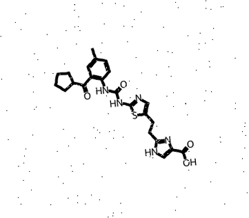 Cc1ccc(NC(=O)Nc2ncc(CCc3nc(C(=O)O)c[nH]3)s2)c(C(=O)C2CCCC2)c1